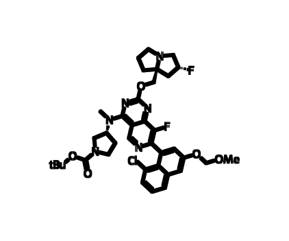 COCOc1cc(-c2ncc3c(N(C)[C@@H]4CCN(C(=O)OC(C)(C)C)C4)nc(OC[C@@]45CCCN4C[C@H](F)C5)nc3c2F)c2c(Cl)cccc2c1